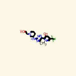 Cc1nc(N[C@@H]2CCCN(CCO)C2)nnc1-c1ncc(C(F)(F)F)cc1O